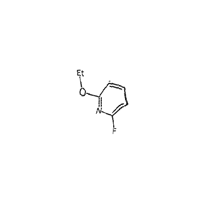 CCOc1[c]ccc(F)n1